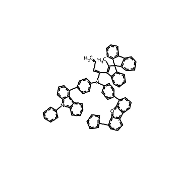 C=C/C=C(\C1=C(C)C2(c3ccccc31)c1ccccc1-c1ccccc12)N(c1ccc(-c2cccc3c2oc2c(-c4ccccc4)cccc23)cc1)c1ccc(-c2cccc3c2c2ccccc2n3-c2ccccc2)cc1